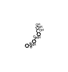 O=C(Nc1cccc(CC2SC(O)NC2O)c1)c1ccc(NS(=O)(=O)c2ccccc2)cc1